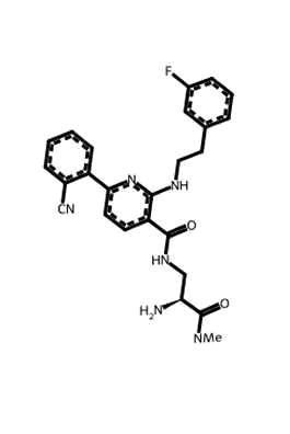 CNC(=O)[C@@H](N)CNC(=O)c1ccc(-c2ccccc2C#N)nc1NCCc1cccc(F)c1